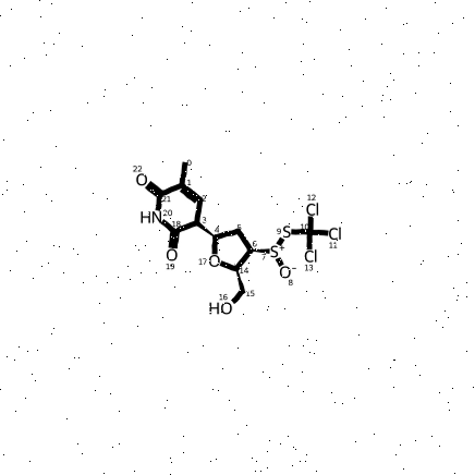 CC1=CC([C@H]2C[C@@H]([S+]([O-])SC(Cl)(Cl)Cl)[C@@H](CO)O2)C(=O)NC1=O